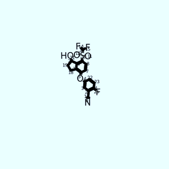 N#Cc1cc(Oc2ccc(S(=O)(=O)C(F)F)c3c2CCC3O)ccc1F